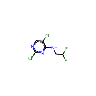 FC(F)CNc1nc(Cl)ncc1Cl